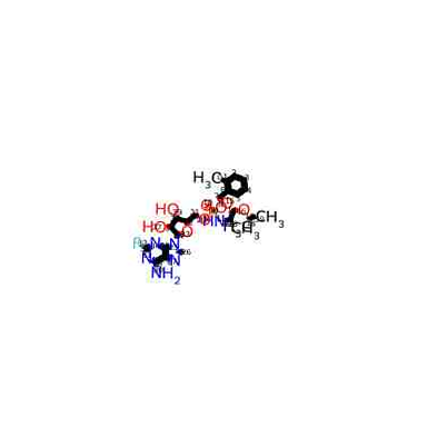 Cc1ccccc1CO[P@](=O)(N[C@@H](C)C(=O)OC(C)C)OCC1OC(n2cnc3c(N)nc(F)nc32)C(O)C1O